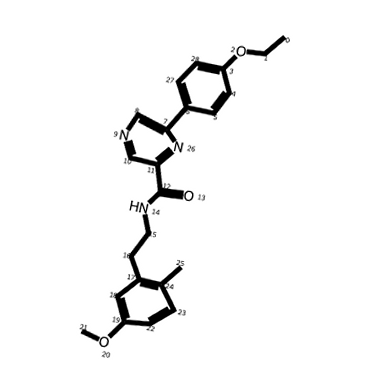 CCOc1ccc(-c2cncc(C(=O)NCCc3cc(OC)ccc3C)n2)cc1